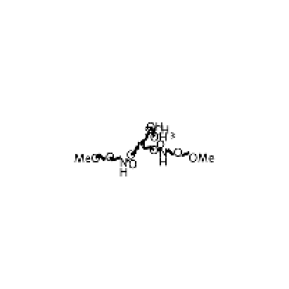 COCCOCCNC(=O)OCCN(CCC[Si](C)(O)O)CCOC(=O)NCCOCCOC